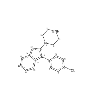 Clc1ccc(-n2c(N3CCNCC3)cc3ccccc32)cc1